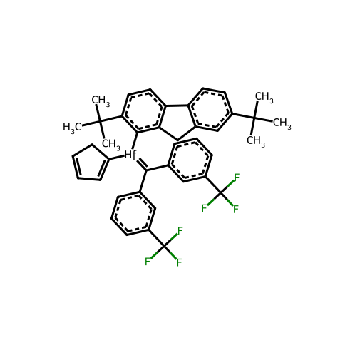 CC(C)(C)c1ccc2c(c1)Cc1c-2ccc(C(C)(C)C)[c]1[Hf]([C]1=CC=CC1)=[C](c1cccc(C(F)(F)F)c1)c1cccc(C(F)(F)F)c1